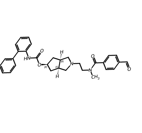 CN(CCN1C[C@H]2C[C@@H](OC(=O)Nc3ccccc3-c3ccccc3)C[C@H]2C1)C(=O)c1ccc(C=O)cc1